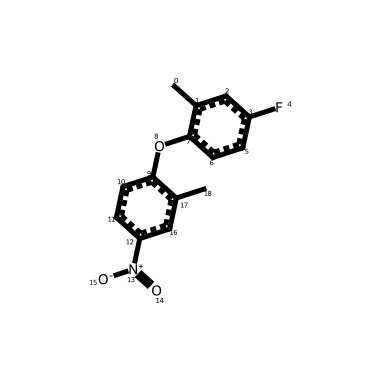 Cc1cc(F)ccc1Oc1ccc([N+](=O)[O-])cc1C